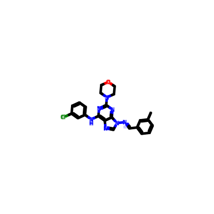 Cc1cccc(/C=N/n2cnc3c(Nc4cccc(Cl)c4)nc(N4CCOCC4)nc32)c1